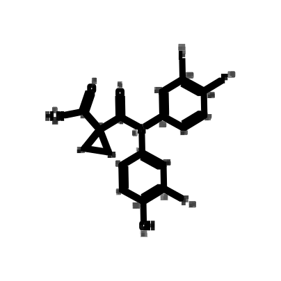 NC(=O)C1(C(=O)N(c2ccc(O)c(F)c2)c2ccc(F)c(F)c2)CC1